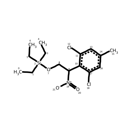 CC[Si](CC)(CC)OCC(c1c(Cl)cc(C)cc1Cl)[N+](=O)[O-]